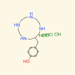 Cl.Cl.Cl.Cl.Oc1ccc(CC2CNCCNCCNCCNC2)cc1